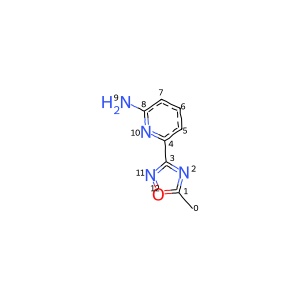 Cc1nc(-c2cccc(N)n2)no1